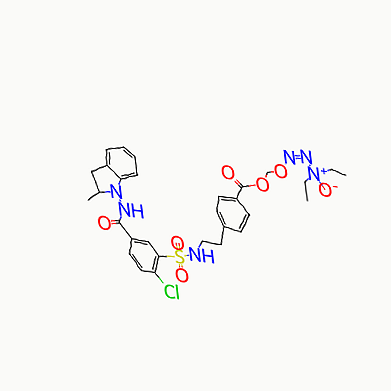 CC[N+]([O-])(CC)/N=N\OCOC(=O)c1ccc(CCNS(=O)(=O)c2cc(C(=O)NN3c4ccccc4CC3C)ccc2Cl)cc1